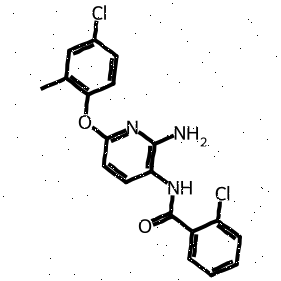 Cc1cc(Cl)ccc1Oc1ccc(NC(=O)c2ccccc2Cl)c(N)n1